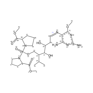 COC(=O)C1CCCN1P(=O)(OCC(C(C)C)C(O)C(O)C/C=N\c1c(N)nc(N)nc1OC)N1CCCC1C(=O)OC